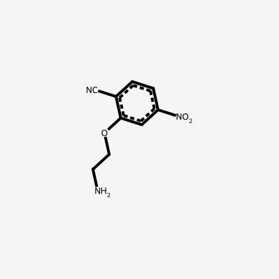 N#Cc1ccc([N+](=O)[O-])cc1OCCN